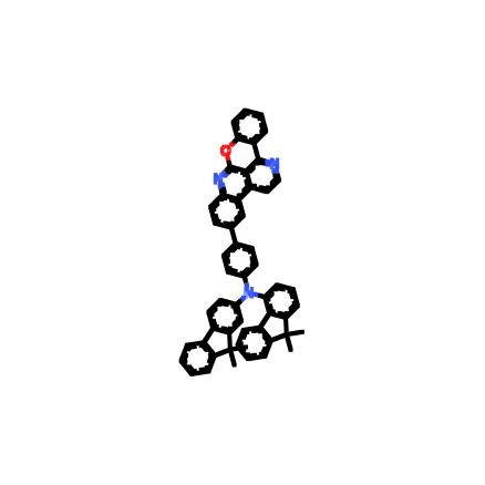 CC1(C)c2ccccc2-c2ccc(N(c3ccc(-c4ccc5nc6c7c(nccc7c5c4)-c4ccccc4O6)cc3)c3cccc4c3-c3ccccc3C4(C)C)cc21